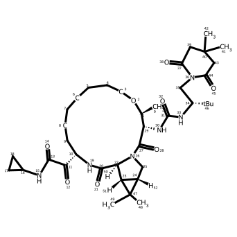 C[C@@H]1OCCCCCCC[C@@H](C(=O)C(=O)NC2CC2)NC(=O)[C@@H]2[C@@H]3[C@H](CN2C(=O)[C@H]1NC(=O)N[C@H](CN1C(=O)CC(C)(C)CC1=O)C(C)(C)C)C3(C)C